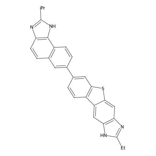 CCc1nc2cc3sc4cc(-c5ccc6c(ccc7nc(C(C)C)[nH]c76)c5)ccc4c3cc2[nH]1